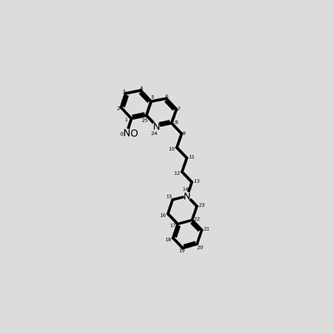 O=Nc1cccc2ccc(CCCCCN3CCc4ccccc4C3)nc12